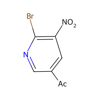 CC(=O)c1cnc(Br)c([N+](=O)[O-])c1